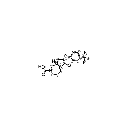 O=C(O)N1CCCN2C(=O)C(Oc3ccc(C(F)(F)F)cn3)C[C@H]2C1